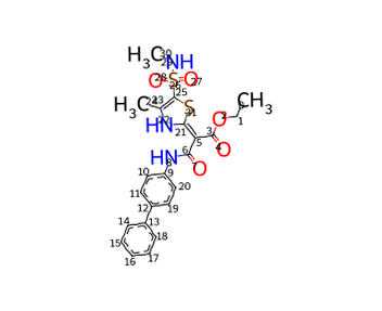 CCOC(=O)C(C(=O)Nc1ccc(-c2ccccc2)cc1)=C1NC(C)=C(S(=O)(=O)NC)S1